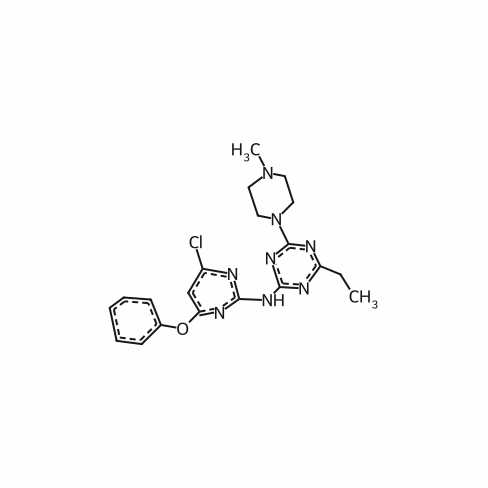 CCc1nc(Nc2nc(Cl)cc(Oc3ccccc3)n2)nc(N2CCN(C)CC2)n1